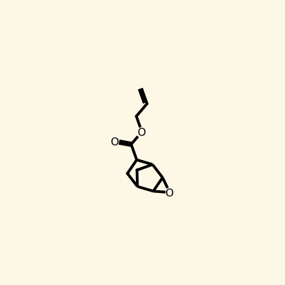 C=CCOC(=O)C1CC2CC1C1OC21